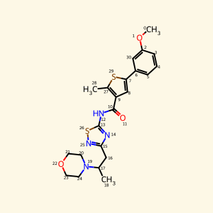 COc1cccc(-c2cc(C(=O)Nc3nc(CC(C)N4CCOCC4)ns3)c(C)s2)c1